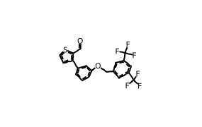 O=Cc1sccc1-c1cccc(OCc2cc(C(F)(F)F)cc(C(F)(F)F)c2)c1